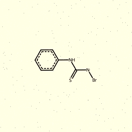 S=C([N]Br)Nc1ccccc1